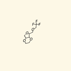 FC(F)(F)COCC1OCC2OCCOC12